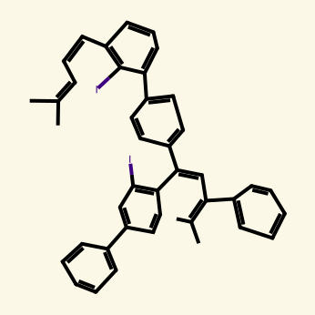 CC(C)=C/C=C\c1cccc(-c2ccc(/C(=C/C(=C(C)C)c3ccccc3)c3ccc(-c4ccccc4)cc3I)cc2)c1I